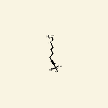 [CH2]CSCCCCC#CC(F)(F)F